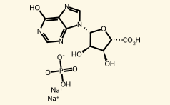 O=C(O)[C@H]1O[C@@H](n2cnc3c(O)ncnc32)[C@H](O)[C@@H]1O.O=P([O-])([O-])O.[Na+].[Na+]